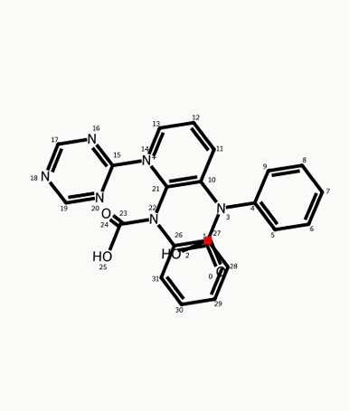 O=C(O)N(c1ccccc1)c1ccc[n+](-c2ncncn2)c1N(C(=O)O)c1ccccc1